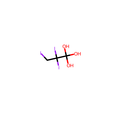 OC(O)(O)C(I)(I)CI